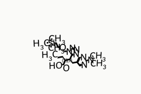 CCC[C@H](C(=O)O)[C@H](Cc1cnc(N(C)C)nc1)c1nnnn1COCC[Si](C)(C)C